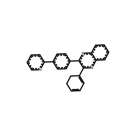 C1=CCCC(c2nc3ccccc3nc2-c2ccc(-c3ccccn3)cc2)=C1